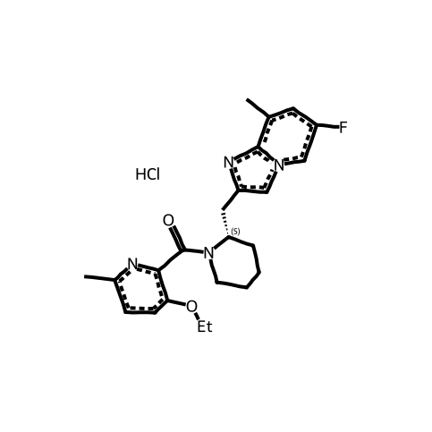 CCOc1ccc(C)nc1C(=O)N1CCCC[C@H]1Cc1cn2cc(F)cc(C)c2n1.Cl